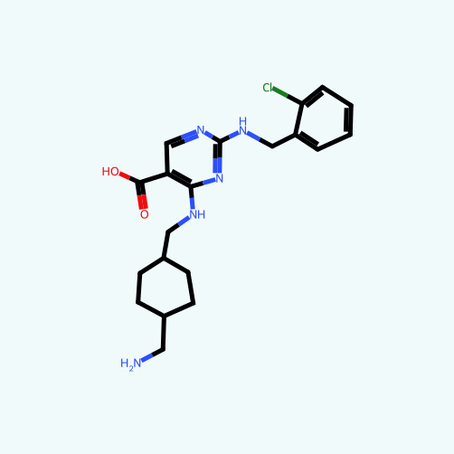 NCC1CCC(CNc2nc(NCc3ccccc3Cl)ncc2C(=O)O)CC1